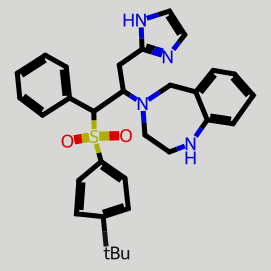 CC(C)(C)c1ccc(S(=O)(=O)C(c2ccccc2)C(Cc2ncc[nH]2)N2CCNc3ccccc3C2)cc1